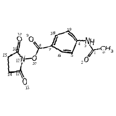 CC(=O)Nc1ccc(C(=O)ON2C(=O)CCC2=O)cc1